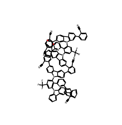 N#Cc1ccccc1-c1ccc2c(c1)c1ccccc1n2-c1cc(C(F)(F)F)cc(-n2c3ccc(-c4ccccc4C#N)cc3c3cc(-c4cccc(C#N)c4-c4ccc5c6ccc(-c7ccccc7C#N)cc6n(-c6cc(C(F)(F)F)cc(-n7c8cc(-c9ccccc9C#N)ccc8c8ccc(-c9ccccc9C#N)cc87)c6-c6cccc(-c7ccccc7)n6)c5c4)ccc32)c1-c1cccc(-c2ccccc2)n1